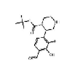 CC(C)(C)OC(=O)N1CCNCC1c1ccc(C=O)c(O)c1F